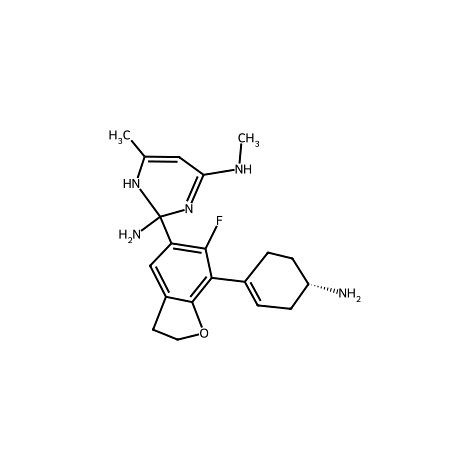 CNC1=NC(N)(c2cc3c(c(C4=CC[C@@H](N)CC4)c2F)OCC3)NC(C)=C1